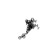 COc1ccc(C(=O)Oc2ccc(CSCOC[C@@H](OC)[C@@H](F)[C@@H](OP(=O)(O)OC[C@H]3O[C@@H](n4ccc(=O)[nH]c4=O)[C@H](OP=O)[C@@H]3F)n3cnc4c(N)ncnc43)cc2)cc1